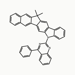 CC1(C)c2cc3ccccc3cc2-c2cc3c(cc21)c1ccccc1n3-c1nc(-c2ccccc2)c2ccccc2n1